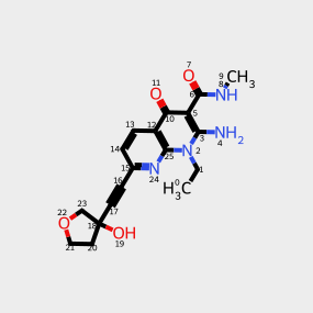 CCn1c(N)c(C(=O)NC)c(=O)c2ccc(C#CC3(O)CCOC3)nc21